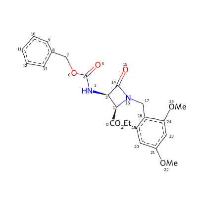 CCOC(=O)[C@H]1[C@@H](NC(=O)OCc2ccccc2)C(=O)N1Cc1ccc(OC)cc1OC